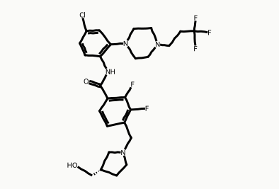 O=C(Nc1ccc(Cl)cc1N1CCN(CCC(F)(F)F)CC1)c1ccc(CN2CC[C@H](CO)C2)c(F)c1F